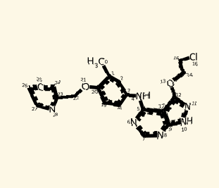 Cc1cc(Nc2ncnc3[nH]nc(OCCCl)c23)ccc1OCc1ccccn1